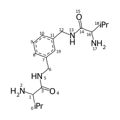 CC(C)C(N)C(=O)NCc1cccc(CNC(=O)C(N)C(C)C)c1